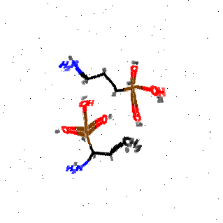 CCC(N)S(=O)(=O)O.NCCCS(=O)(=O)O